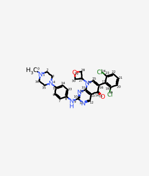 CN1CCN(c2ccc(Nc3ncc4c(=O)c(-c5c(Cl)cccc5Cl)cn(C5COC5)c4n3)cc2)CC1